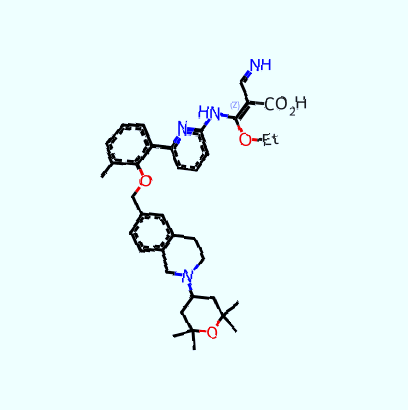 CCO/C(Nc1cccc(-c2cccc(C)c2OCc2ccc3c(c2)CCN(C2CC(C)(C)OC(C)(C)C2)C3)n1)=C(/C=N)C(=O)O